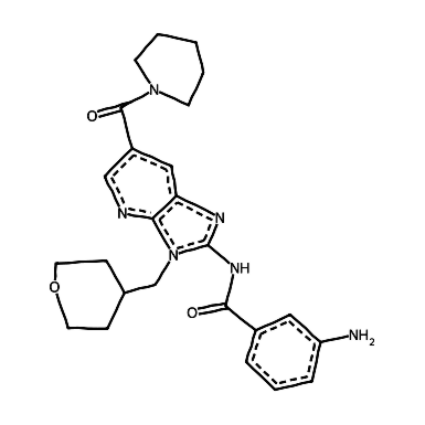 Nc1cccc(C(=O)Nc2nc3cc(C(=O)N4CCCCC4)cnc3n2CC2CCOCC2)c1